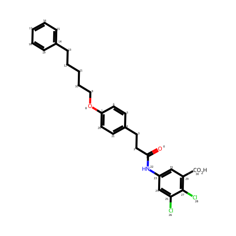 O=C(CCc1ccc(OCCCCCc2ccccc2)cc1)Nc1cc(Cl)c(Cl)c(C(=O)O)c1